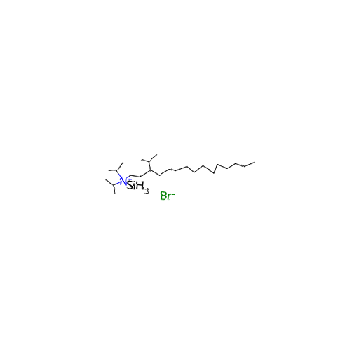 CCCCCCCCCCCCC(CC[N+]([SiH3])(C(C)C)C(C)C)C(C)C.[Br-]